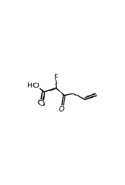 C=CCC(=O)C(F)C(=O)O